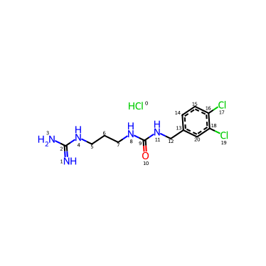 Cl.N=C(N)NCCCNC(=O)NCc1ccc(Cl)c(Cl)c1